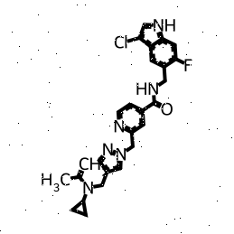 C=C(C)N(Cc1cnn(Cc2cc(C(=O)NCc3cc4c(Cl)c[nH]c4cc3F)ccn2)c1)C1CC1